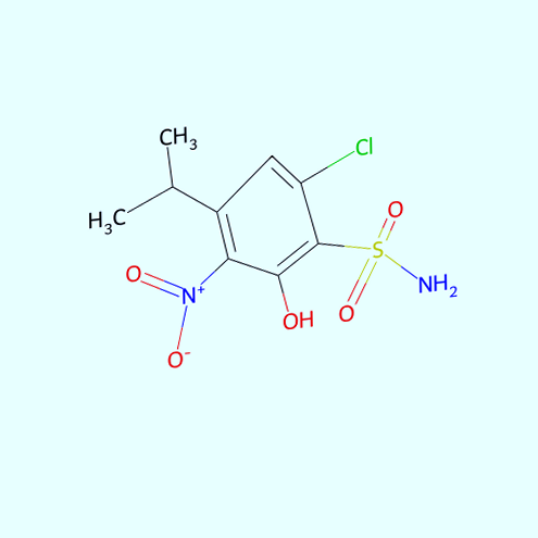 CC(C)c1cc(Cl)c(S(N)(=O)=O)c(O)c1[N+](=O)[O-]